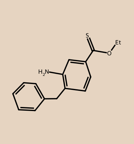 CCOC(=S)c1ccc(Cc2ccccc2)c(N)c1